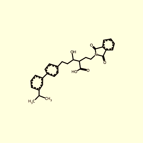 CC(C)c1cccc(-c2ccc(CCC(O)C(CCN3C(=O)c4ccccc4C3=O)C(=O)O)cc2)c1